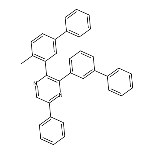 Cc1ccc(-c2ccccc2)cc1-c1ncc(-c2ccccc2)nc1-c1cccc(-c2ccccc2)c1